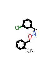 N#Cc1ccccc1CO/N=[C]\c1cccc(Cl)c1